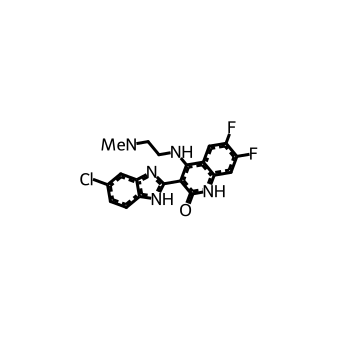 CNCCNc1c(-c2nc3cc(Cl)ccc3[nH]2)c(=O)[nH]c2cc(F)c(F)cc12